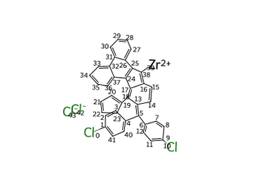 Clc1ccc(C(c2ccc(Cl)cc2)=c2ccc3c(c2C2=CC=CC2)-c2c(c4ccccc4c4ccccc24)[C]=3[Zr+2])cc1.[Cl-].[Cl-]